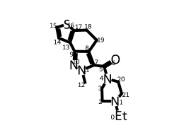 CCN1CCN(C(=O)c2c3c(nn2C)-c2ccsc2CC3)CC1